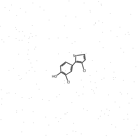 Oc1ccc(-c2[se]ccc2Cl)cc1Cl